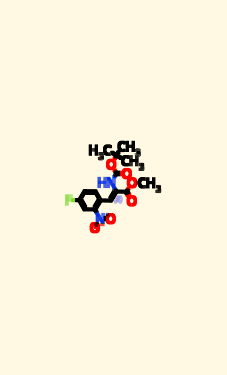 COC(=O)/C(=C/c1ccc(F)cc1[N+](=O)[O-])NC(=O)OC(C)(C)C